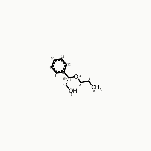 CCCO[C@H](CO)c1ccccc1